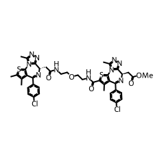 COC(=O)C[C@H]1N=C(c2ccc(Cl)cc2)c2c(sc(C(=O)NCCOCCNC(=O)C[C@@H]3N=C(c4ccc(Cl)cc4)c4c(sc(C)c4C)-n4c(C)nnc43)c2C)-n2c(C)nnc21